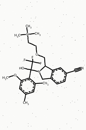 COc1cc(C)cc(C)c1C(O)(N1Cc2ccc(C#N)cc2C1COCC[Si](C)(C)C)C(F)(F)F